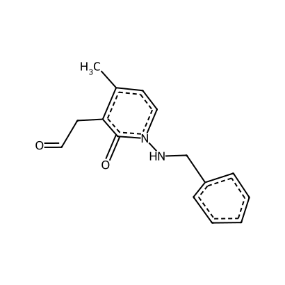 Cc1ccn(NCc2ccccc2)c(=O)c1CC=O